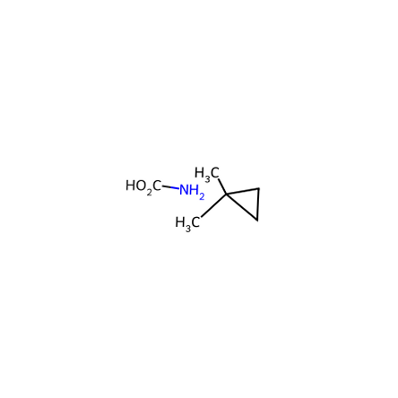 CC1(C)CC1.NC(=O)O